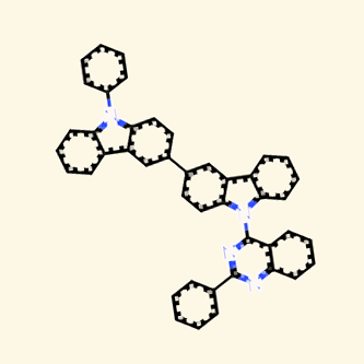 c1ccc(-c2nc(-n3c4ccccc4c4cc(-c5ccc6c(c5)c5ccccc5n6-c5ccccc5)ccc43)c3ccccc3n2)cc1